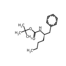 CCCC[C@H](Cc1ccccc1)NC(=O)OC(C)(C)C